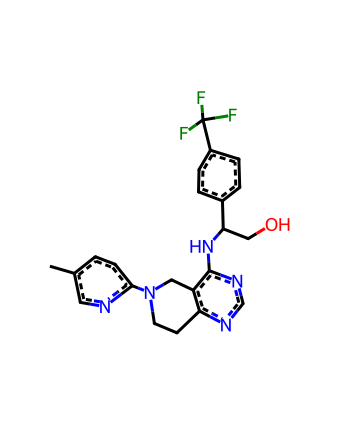 Cc1ccc(N2CCc3ncnc(NC(CO)c4ccc(C(F)(F)F)cc4)c3C2)nc1